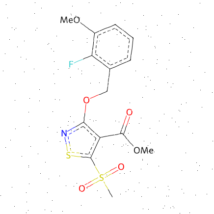 COC(=O)c1c(OCc2cccc(OC)c2F)nsc1S(C)(=O)=O